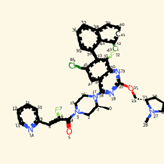 C[C@H]1CN(C(=O)/C(F)=C/c2ccccn2)CCN1c1nc(OC[C@@H]2CCCN2C)nc2c(F)c(-c3cccc4cccc(Cl)c34)c(Cl)cc12